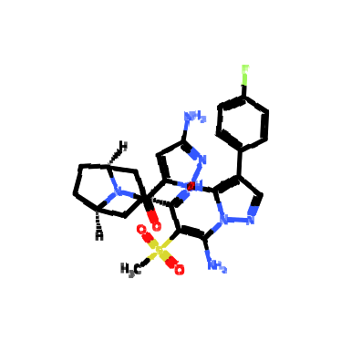 CS(=O)(=O)c1c([C@@H]2C[C@H]3CC[C@@H](C2)N3C(=O)c2cc(N)n[nH]2)nc2c(-c3ccc(F)cc3)cnn2c1N